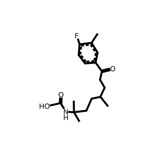 Cc1cc(C(=O)CCC(C)CCC(C)(C)NC(=O)O)ccc1F